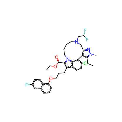 CCOC(=O)c1c(CCCOc2cccc3cc(F)ccc23)c2ccc(Cl)c3c2n1CCCCN(CC(F)F)Cc1nn(C)c(CC)c1-3